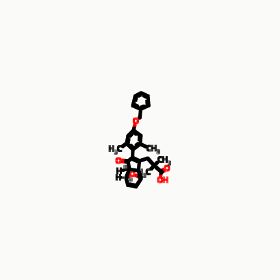 Cc1cc(OCc2ccccc2)cc(C)c1C1=C(CC(C)(C)C(=O)O)C2C3C=C[C@H](O3)[C@@H]2C1=O